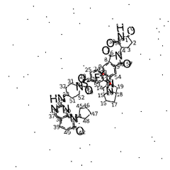 O=C1CCC(N2C(=O)c3cc(F)c(N4CC5CCC(C4)N5Cc4cccc(S(=O)(=O)N5CCC(Nc6ncc7ccc(=O)n(C8CCCC8)c7n6)CC5)c4)cc3C2=O)C(=O)N1